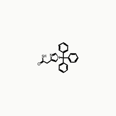 O=C(S)Cc1cn(C(c2ccccc2)(c2ccccc2)c2ccccc2)cn1